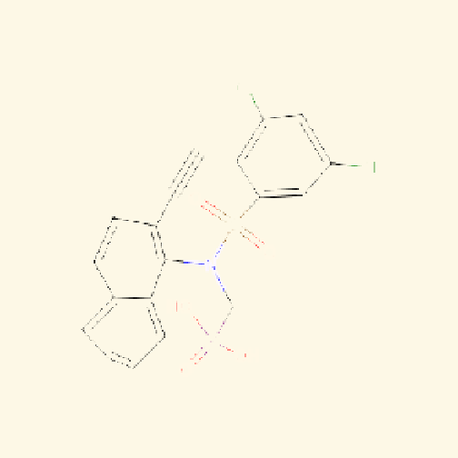 C#Cc1ccc2ccccc2c1N(CP(=O)(O)O)S(=O)(=O)c1cc(Cl)cc(Cl)c1